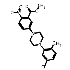 COC(=O)c1cc(N2CCN(c3cc(Cl)ccc3C)CC2)ccc1[N+](=O)[O-]